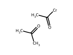 CC(C)=O.C[C](=O)[Cr]